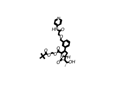 C[C@@H](O)[C@H]1C(=O)N2C(C(=O)OCOC(=O)C(C)(C)C)=C(c3cccc(COCC(=O)Nc4ccncc4)c3)C[C@H]12